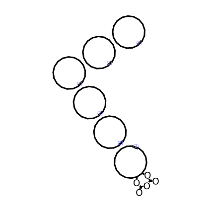 C1=C\CCCCCCCCCCCCCCC/1.C1=C\CCCCCCCCCCCCCCC/1.C1=C\CCCCCCCCCCCCCCC/1.C1=C\CCCCCCCCCCCCCCC/1.C1=C\CCCCCCCCCCCCCCC/1.O=C1OC(=O)OC2CCCCCCCCC/C=C\CCCCC2O1